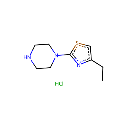 CCc1csc(N2CCNCC2)n1.Cl